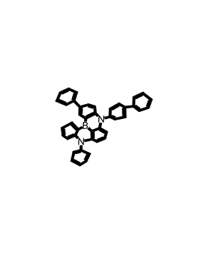 c1ccc(-c2ccc(N3c4ccc(-c5ccccc5)cc4B4c5ccccc5N(c5ccccc5)c5cccc3c54)cc2)cc1